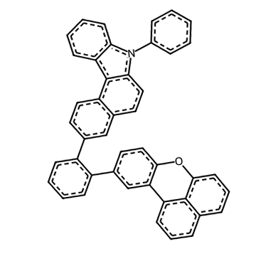 c1ccc(-n2c3ccccc3c3c4ccc(-c5ccccc5-c5ccc6c(c5)-c5cccc7cccc(c57)O6)cc4ccc32)cc1